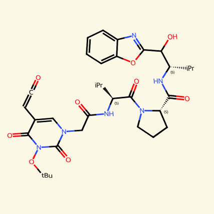 CC(C)[C@H](NC(=O)[C@@H]1CCCN1C(=O)[C@@H](NC(=O)Cn1cc(C=C=O)c(=O)n(OC(C)(C)C)c1=O)C(C)C)C(O)c1nc2ccccc2o1